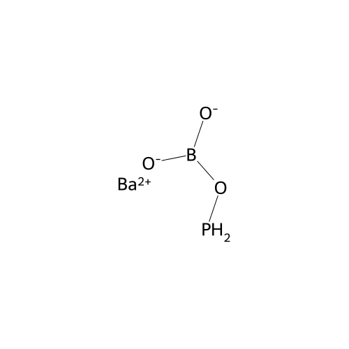 [Ba+2].[O-]B([O-])OP